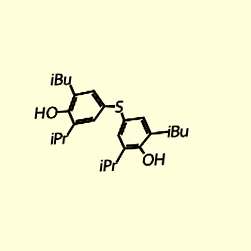 CCC(C)c1cc(Sc2cc(C(C)C)c(O)c(C(C)CC)c2)cc(C(C)C)c1O